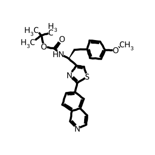 COc1ccc(C[C@H](NC(=O)OC(C)(C)C)c2csc(-c3ccc4cnccc4c3)n2)cc1